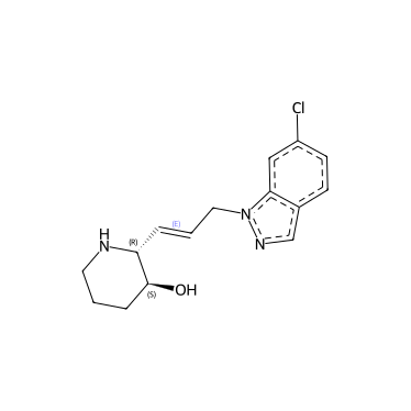 O[C@H]1CCCN[C@@H]1/C=C/Cn1ncc2ccc(Cl)cc21